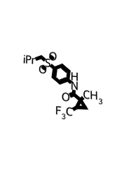 CC(C)CS(=O)(=O)c1ccc(NC(=O)C2(C)CC2C(F)(F)F)cc1